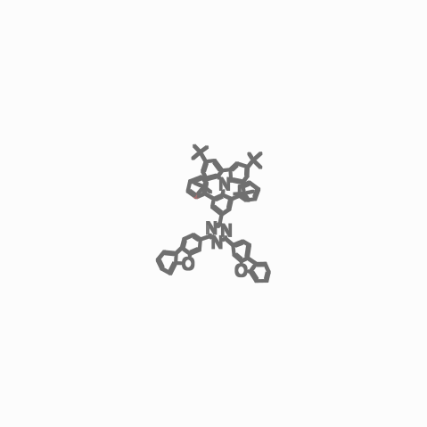 CC(C)(C)c1cc(C(C)(C)C)c2c(c1)c1cc(C(C)(C)C)cc(C(C)(C)C)c1n2-c1c(-c2ccccc2)cc(-c2nc(-c3ccc4c(c3)oc3ccccc34)nc(-c3ccc4c(c3)oc3ccccc34)n2)cc1-c1ccccc1